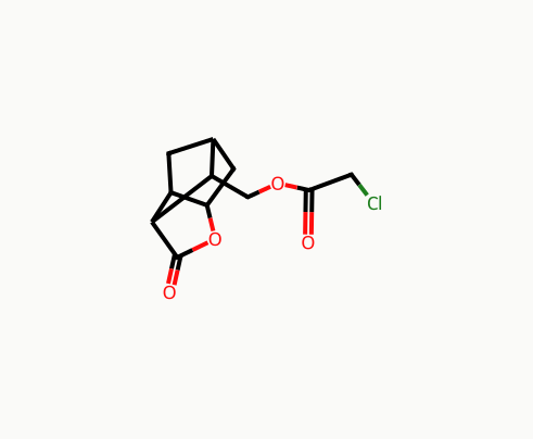 O=C(CCl)OCC1C2CC3OC(=O)C1C3C2